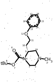 CN1CCN(C(=O)OC(C)(C)C)[C@H](CCOc2ccccc2)C1